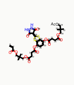 C=CC(=O)OCC(C)(C)COC(=O)CCC(=O)Oc1ccc(OC(=O)CCC(=O)OCC(C)(C)COC(C)=O)c2c1SC(=C1C(=O)NNC1=O)S2